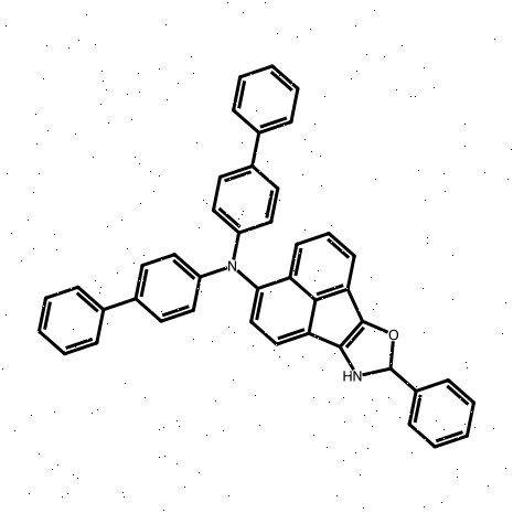 c1ccc(-c2ccc(N(c3ccc(-c4ccccc4)cc3)c3ccc4c5c(cccc35)C3=C4NC(c4ccccc4)O3)cc2)cc1